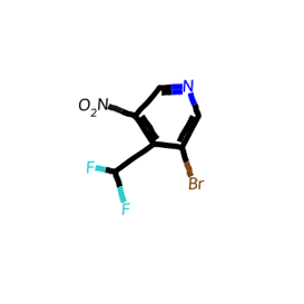 O=[N+]([O-])c1cncc(Br)c1C(F)F